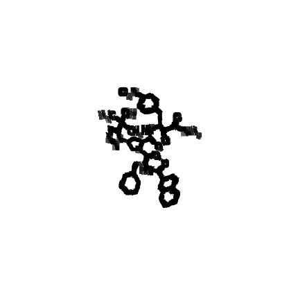 CC(C)(O)c1cnnn1[C@H]1C[C@@H](C(=O)NC(Cc2ccc([N+](=O)[O-])cc2)C(=O)C(N)=O)N(C(=O)[C@@H](CC2CCCCC2)NC(=O)c2ccc3ccccc3c2)C1